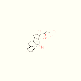 C[C@@H]1C[C@H]2[C@@H]3CCC4=CC(=O)C=C[C@]4(C)[C@@]3(F)[C@@H](O)C[C@]2(C)[C@@]1(O)C(=O)C(O)CC(=O)O